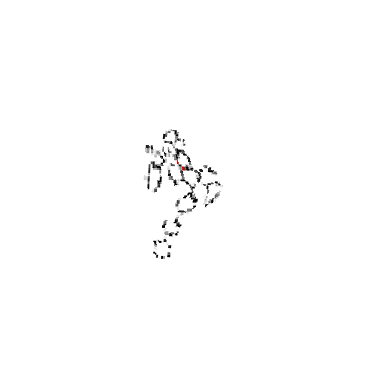 CC1(C)c2ccccc2-c2cc(N(c3ccc(-c4ccc(C5CCCCC5)cc4)cc3)c3c(-c4ccc5c(c4)oc4ccccc45)ccc4ccccc34)ccc21